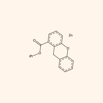 CC(C)OC(=O)c1cccc2c1Cc1ccccc1O2.[Zn]